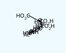 CC(=O)C(CSCC(=O)NCCOCCOCCNC(=O)CCC(NC(=O)CCC(NC(=O)CCCCCCCCCCCCCCC(=O)O)C(=O)O)C(=O)O)NC(C)C